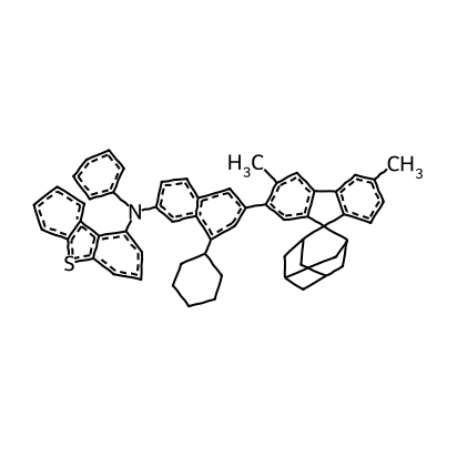 Cc1ccc2c(c1)-c1cc(C)c(-c3cc(C4CCCCC4)c4cc(N(c5ccccc5)c5cccc6sc7ccccc7c56)ccc4c3)cc1C21C2CC3CC(C2)CC1C3